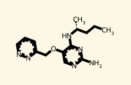 CCC[C@@H](C)Nc1nc(N)ncc1OCc1cccnn1